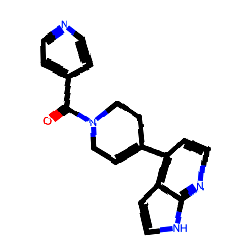 O=C(c1ccncc1)N1CC=C(c2ccnc3[nH]ccc23)CC1